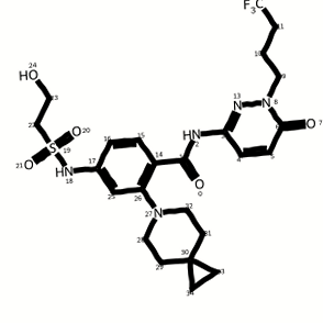 O=C(Nc1ccc(=O)n(CCCC(F)(F)F)n1)c1ccc(NS(=O)(=O)CCO)cc1N1CCC2(CC1)CC2